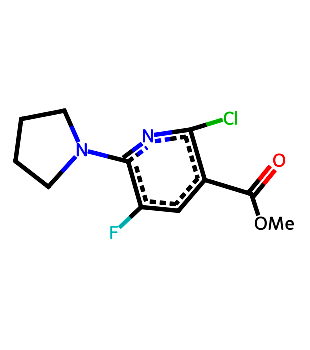 COC(=O)c1cc(F)c(N2CCCC2)nc1Cl